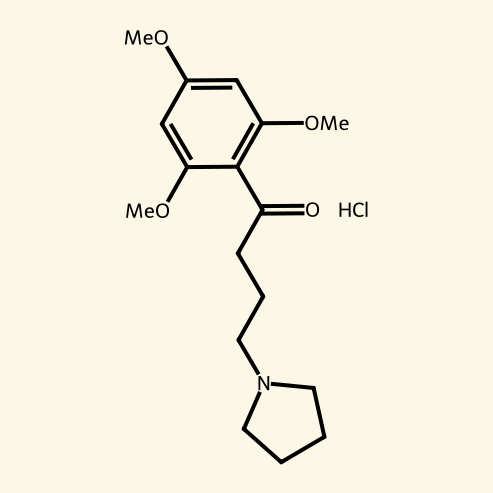 COc1cc(OC)c(C(=O)CCCN2CCCC2)c(OC)c1.Cl